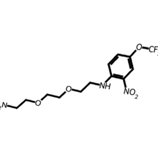 NCCOCCOCCNc1ccc(OC(F)(F)F)cc1[N+](=O)[O-]